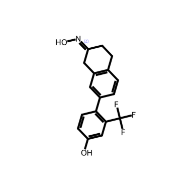 O/N=C1/CCc2ccc(-c3ccc(O)cc3C(F)(F)F)cc2C1